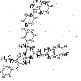 COC(=O)[C@H](Cc1ccccc1)Nc1nc(NCc2nc3cc(F)ccc3[nH]2)nc(Nc2cccc(CN3CCN(C(=O)C4N=CC=NC4O)CC3)c2)n1